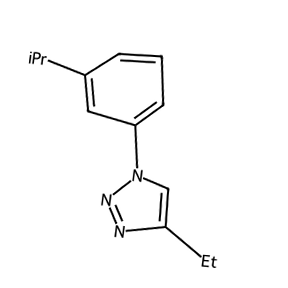 CCc1cn(-c2cccc(C(C)C)c2)nn1